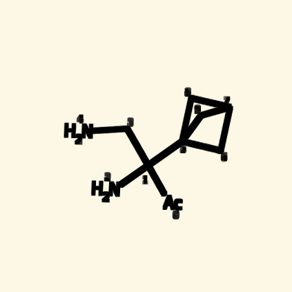 CC(=O)C(N)(CN)C12CC(C1)C2